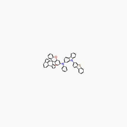 c1ccc(N(c2ccc3c(c2)Oc2ccccc2C32c3ccccc3-c3cccc4cccc2c34)c2ccc3c4ccccc4n(-c4ccc5c(c4)sc4ccccc45)c3c2)cc1